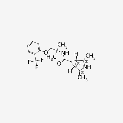 C[C@@H]1N[C@@H](C)[C@H]2C(C(=O)NC(C)(C)COc3ccccc3C(F)(F)F)[C@H]21